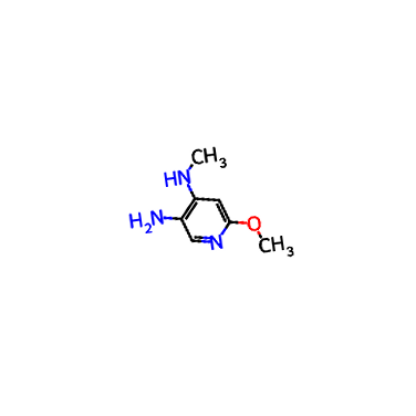 CNc1cc(OC)ncc1N